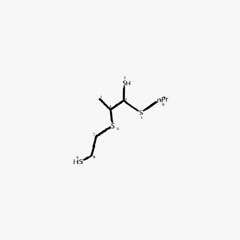 CCCSC(S)C(C)SCCS